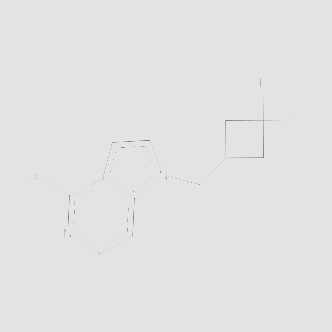 FC1(F)CC(Cn2ccc3c(Br)nccc32)C1